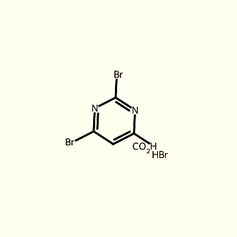 Br.O=C(O)c1cc(Br)nc(Br)n1